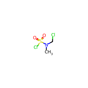 CN(CCl)S(=O)(=O)Cl